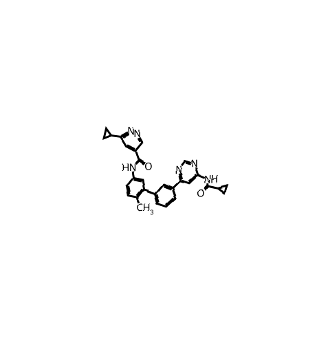 Cc1ccc(NC(=O)c2cnnc(C3CC3)c2)cc1-c1cccc(-c2cc(NC(=O)C3CC3)ncn2)c1